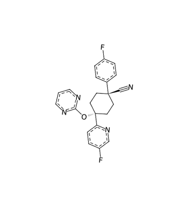 N#C[C@]1(c2ccc(F)cc2)CC[C@](Oc2ncccn2)(c2ccc(F)cn2)CC1